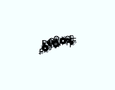 C[C@@H](N1CCN(c2ccc(OC(F)(F)C(F)F)cc2)C(=O)C1=O)[C@@]1(c2ccc(F)cc2F)CO1